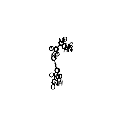 CNC(=O)N1CCc2c(-c3cc(OC)c(CN4CCC(C#Cc5ccc6c(c5)C(=O)N(C5CCC(=O)NC5=O)C6=O)CC4)c(OC)c3)cn(C)c(=O)c2C1